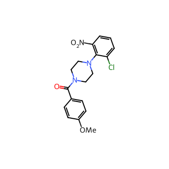 COc1ccc(C(=O)N2CCN(c3c(Cl)cccc3[N+](=O)[O-])CC2)cc1